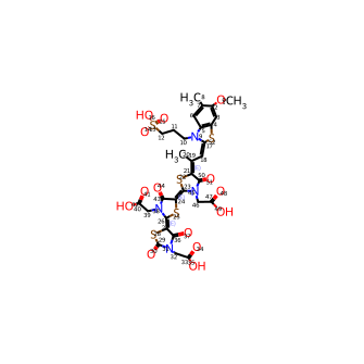 COc1cc2c(cc1C)N(CCCS(=O)(=O)O)C(=C/C(C)=c1/s/c(=c3/s/c(=C4/SC(=O)N(CC(=O)O)C4=O)n(CC(=O)O)c3=O)n(CC(=O)O)c1=O)S2